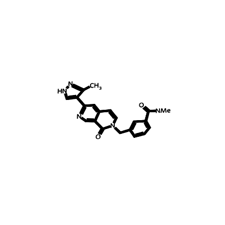 CNC(=O)c1cccc(Cn2ccc3cc(-c4c[nH]nc4C)ncc3c2=O)c1